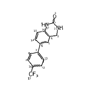 O=C1NCc2cc(-c3ccc(C(F)(F)F)cc3)ccc2N1